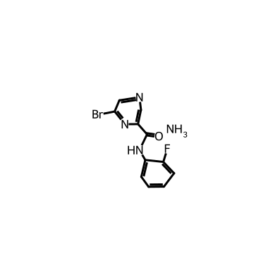 N.O=C(Nc1ccccc1F)c1cncc(Br)n1